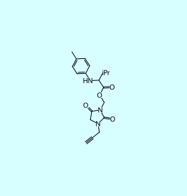 C#CCN1CC(=O)N(COC(=O)C(Nc2ccc(C)cc2)C(C)C)C1=O